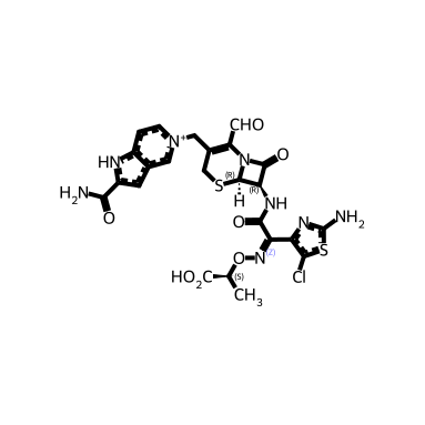 C[C@H](O/N=C(\C(=O)N[C@@H]1C(=O)N2C(C=O)=C(C[n+]3ccc4[nH]c(C(N)=O)cc4c3)CS[C@H]12)c1nc(N)sc1Cl)C(=O)O